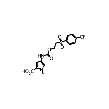 Cn1cc(NC(=O)OCCS(=O)(=O)c2ccc(C(F)(F)F)cc2)cc1C(=O)O